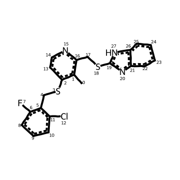 Cc1c(SCc2c(F)cccc2Cl)ccnc1CSc1nc2ccccc2[nH]1